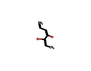 C=C/C=C(Br)\C(Br)=C/C